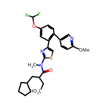 COc1ccc(-c2ccc(OC(F)F)cc2-c2csc(N(C)C(=O)C(CC(=O)O)CC3CCCC3)n2)cn1